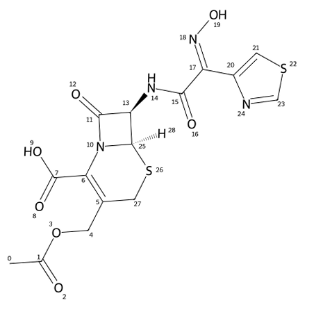 CC(=O)OCC1=C(C(=O)O)N2C(=O)[C@@H](NC(=O)C(=NO)c3cscn3)[C@H]2SC1